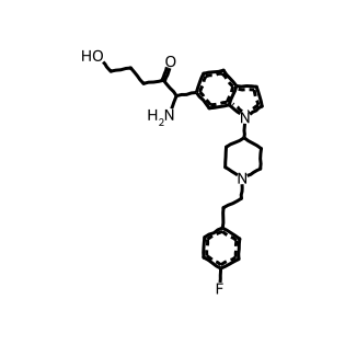 NC(C(=O)CCCO)c1ccc2ccn(C3CCN(CCc4ccc(F)cc4)CC3)c2c1